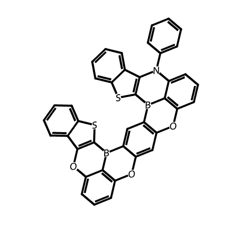 c1ccc(N2c3cccc4c3B(c3cc5c(cc3O4)Oc3cccc4c3B5c3sc5ccccc5c3O4)c3sc4ccccc4c32)cc1